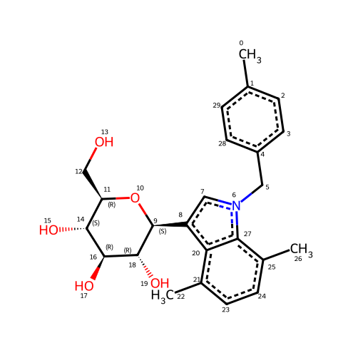 Cc1ccc(Cn2cc([C@@H]3O[C@H](CO)[C@@H](O)[C@H](O)[C@H]3O)c3c(C)ccc(C)c32)cc1